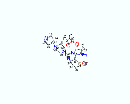 O=C(OCC1(Nc2nc(N3CCN(c4ccncc4)CC3)nc3c2[S+]([O-])CC3)CC1)C(F)(F)F